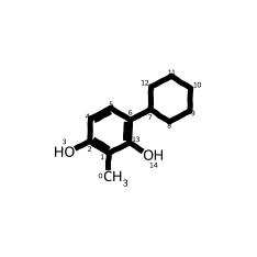 Cc1c(O)ccc(C2CCCCC2)c1O